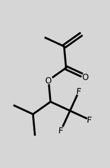 C=C(C)C(=O)OC(C(C)C)C(F)(F)F